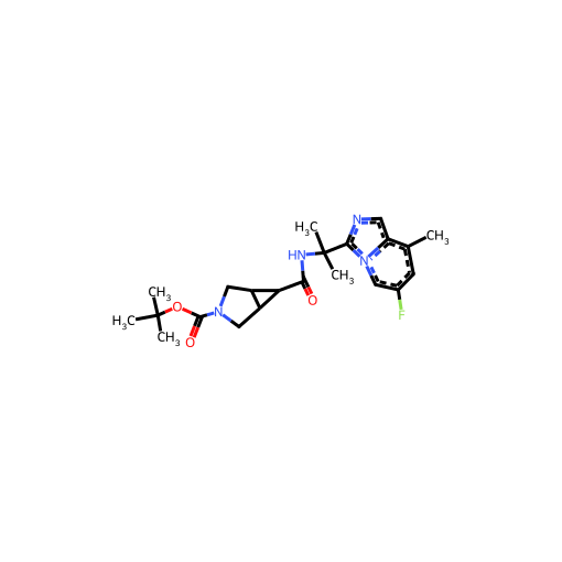 Cc1cc(F)cn2c(C(C)(C)NC(=O)C3C4CN(C(=O)OC(C)(C)C)CC43)ncc12